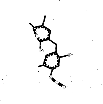 Cc1cc(Cc2cc(C)c(N=C=O)cc2C(C)C)c(C(C)C)cc1C